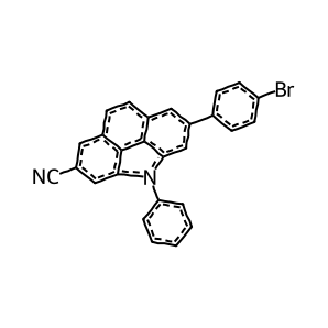 N#Cc1cc2ccc3cc(-c4ccc(Br)cc4)cc4c3c2c(c1)n4-c1ccccc1